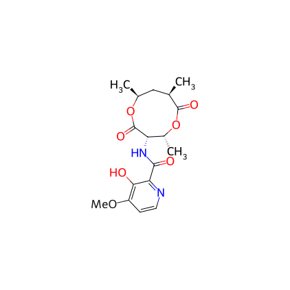 COc1ccnc(C(=O)N[C@@H]2C(=O)O[C@@H](C)C[C@@H](C)C(=O)O[C@@H]2C)c1O